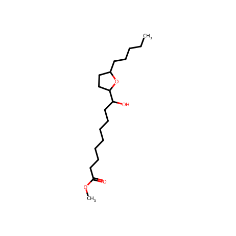 CCCCCC1CCC(C(O)CCCCCCCC(=O)OC)O1